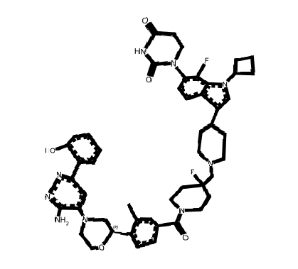 Cc1cc(C(=O)N2CCC(F)(CN3CCC(c4cn(C5CCC5)c5c(F)c(N6CCC(=O)NC6=O)ccc45)CC3)CC2)ccc1[C@@H]1CN(c2cc(-c3ccccc3O)nnc2N)CCO1